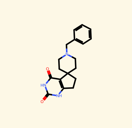 O=c1[nH]c2c(c(=O)[nH]1)C1(CC2)CCN(Cc2ccccc2)CC1